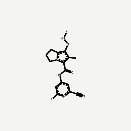 Cc1c(SNF)c2n(c1C(=O)Nc1cc(F)nc(C#N)c1)CCC2